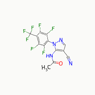 CC(=O)Nc1c(C#N)cnn1-c1c(F)c(F)c(C(F)(F)F)c(F)c1F